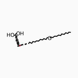 C=C.C=C.C=C.C=C.C=C.C=C.C=C.C=C.C=C.C=C.CCCCCCCCCCCCOCCCCCCCCCCCC.OCCO